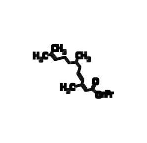 CCCOC(=O)C=C(C)C=CCC(C)CCC=C(C)C